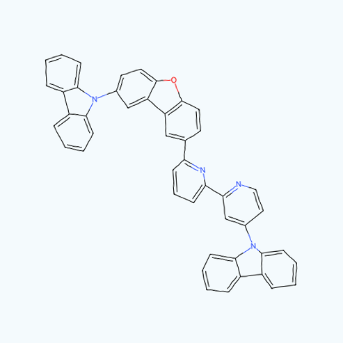 c1cc(-c2ccc3oc4ccc(-n5c6ccccc6c6ccccc65)cc4c3c2)nc(-c2cc(-n3c4ccccc4c4ccccc43)ccn2)c1